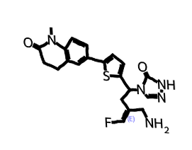 CN1C(=O)CCc2cc(-c3ccc(C(C/C(=C\F)CN)n4cn[nH]c4=O)s3)ccc21